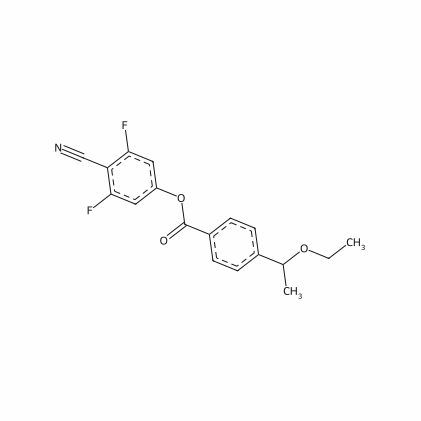 CCOC(C)c1ccc(C(=O)Oc2cc(F)c(C#N)c(F)c2)cc1